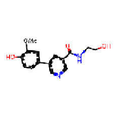 COc1cc(-c2cncc(C(=O)NCCO)c2)ccc1O